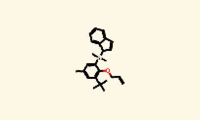 C=CCOc1c(C(C)(C)C)cc(C)cc1[Si](C)(C)C1C=Cc2ccccc21